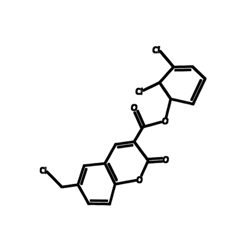 O=C(OC1C=CC=C(Cl)C1Cl)c1cc2cc(CCl)ccc2oc1=O